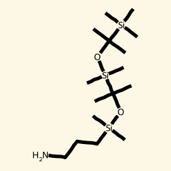 CC(C)(O[Si](C)(C)C(C)(C)O[Si](C)(C)CCCN)[Si](C)(C)C